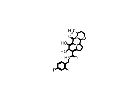 C[C@H]1CCOC2C3CCC4=C(C(=O)NCc5ccc(F)cc5F)C(O)C(O)=C(C(=O)N21)N43